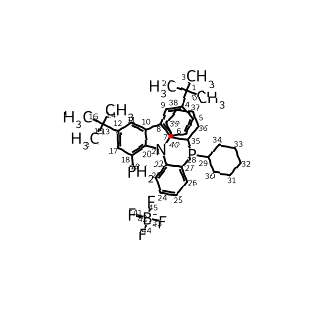 CC(C)(C)c1ccc2c(c1)c1cc(C(C)(C)C)cc(P)c1n2-c1ccccc1P(C1CCCCC1)C1CCCCC1.F[B-](F)(F)F